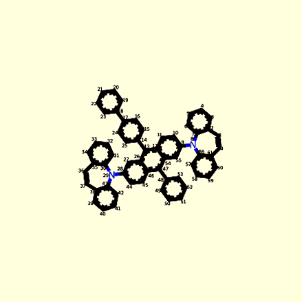 C1=Cc2ccccc2N(c2ccc3c(-c4ccc(-c5ccccc5)cc4)c4cc(N5c6ccccc6C=Cc6ccccc65)ccc4c(-c4ccccc4)c3c2)c2ccccc21